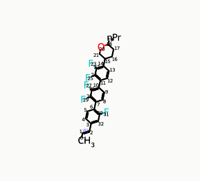 C/C=C/c1ccc(-c2ccc(-c3ccc(C4CCC(CCC)OC4)c(F)c3F)c(F)c2F)c(F)c1